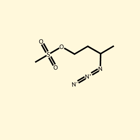 CC(CCOS(C)(=O)=O)N=[N+]=[N-]